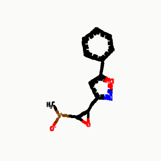 C[S+]([O-])C1OC1c1cc(-c2ccccc2)on1